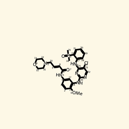 COc1ccc(NC(=O)/C=C/CN2CCOCC2)cc1Nc1ncc(Cl)c(Nc2ccccc2P(C)(C)=O)n1